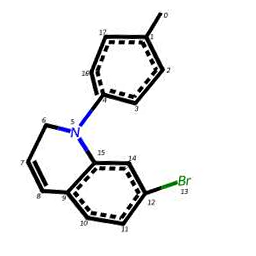 Cc1ccc(N2CC=Cc3ccc(Br)cc32)cc1